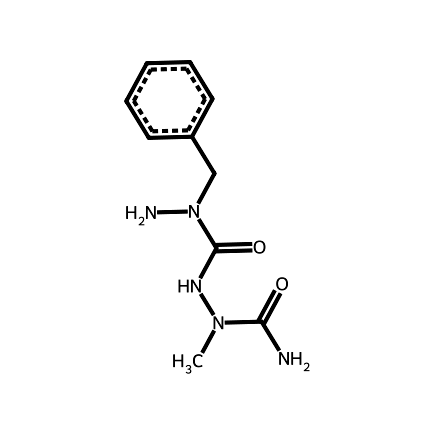 CN(NC(=O)N(N)Cc1ccccc1)C(N)=O